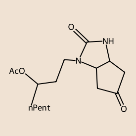 CCCCCC(CCN1C(=O)NC2CC(=O)CC21)OC(C)=O